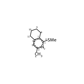 CSc1nc(C)cc2c1CCCC2